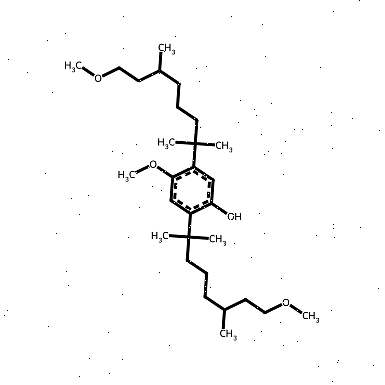 COCCC(C)CCCC(C)(C)c1cc(OC)c(C(C)(C)CCCC(C)CCOC)cc1O